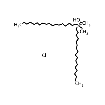 CCCCCCCCCCCCCCCCCC[N+](CC)(CCCCCCCCCCCCCCCCCC)C(C)O.[Cl-]